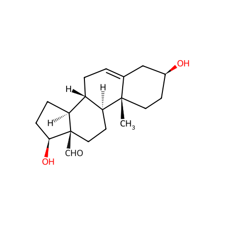 C[C@]12CC[C@H](O)CC1=CC[C@H]1[C@@H]3CC[C@H](O)[C@@]3(C=O)CC[C@@H]12